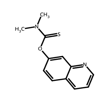 CN(C)C(=S)Oc1ccc2cccnc2c1